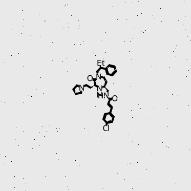 CC[C@H](CN1CC[C@@H](CNC(=O)/C=C/c2ccc(Cl)cc2)N[C@@H](CCN2CCCC2)C1=O)c1ccccc1